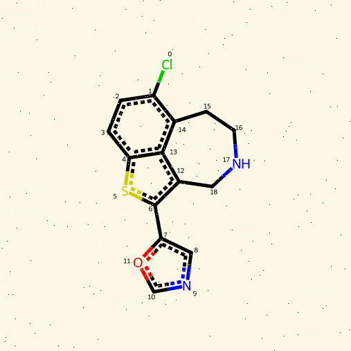 Clc1ccc2sc(-c3cnco3)c3c2c1CCNC3